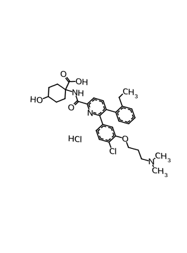 CCc1ccccc1-c1ccc(C(=O)NC2(C(=O)O)CCC(O)CC2)nc1-c1ccc(Cl)c(OCCCN(C)C)c1.Cl